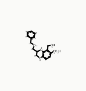 O=C(O)c1ccc2c(c1CO)OC(COCc1ccccc1)CO2